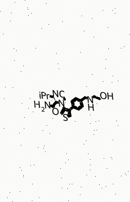 CC(C)C[C@@H](C(N)=O)N(CC#N)c1cscc1-c1ccc(CNCCO)cc1